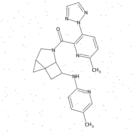 Cc1ccc(NC2CC34CC3CN(C(=O)c3nc(C)ccc3-n3nccn3)C24)nc1